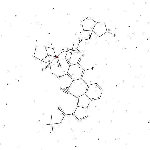 CC(C)(C)OC(=O)N1C2CCC1[C@H]1COc3c(Cl)c(-c4cccc5c4c(C#N)c4n(C(=O)OC(C)(C)C)ccn54)c(F)c4nc(OC[C@@]56CCCN5C[C@H](F)C6)nc(c34)N1C2